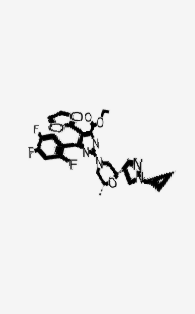 CCOC(=O)c1nc(N2C[C@@H](C)O[C@@H](c3cnn(C4CC4)c3)C2)nc(-c2cc(F)c(F)cc2F)c1C1OCCO1